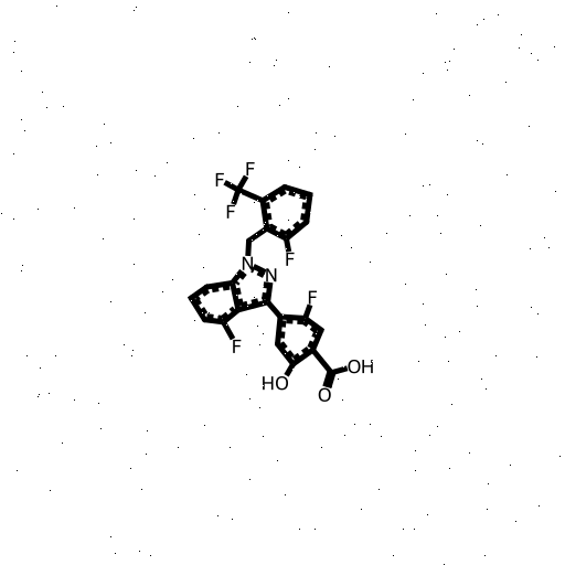 O=C(O)c1cc(F)c(-c2nn(Cc3c(F)cccc3C(F)(F)F)c3cccc(F)c23)cc1O